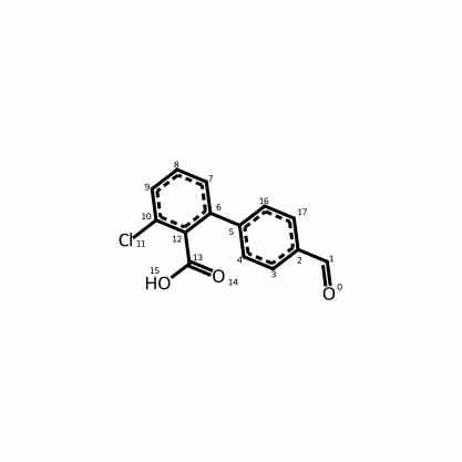 O=Cc1ccc(-c2cccc(Cl)c2C(=O)O)cc1